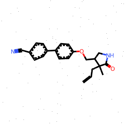 C=CCC1(C)C(=O)NCC1COc1ccc(-c2ccc(C#N)cc2)cc1